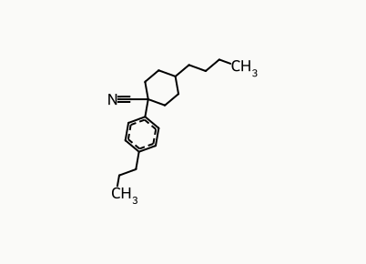 CCCCC1CCC(C#N)(c2ccc(CCC)cc2)CC1